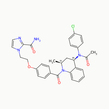 CC(=O)N(c1ccc(Cl)cc1)[C@@H]1C[C@H](C)N(C(=O)c2ccc(OCCn3ccnc3C(N)=O)cc2)c2ccccc21